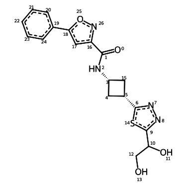 O=C(N[C@H]1C[C@@H](c2nnc(C(O)CO)s2)C1)c1cc(-c2ccccc2)on1